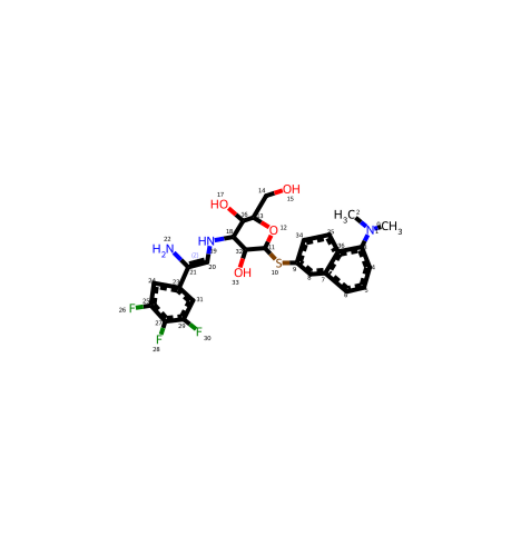 CN(C)c1cccc2cc(SC3OC(CO)C(O)C(N/C=C(\N)c4cc(F)c(F)c(F)c4)C3O)ccc12